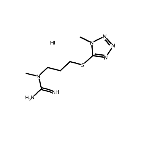 CN(CCCSc1nnnn1C)C(=N)N.I